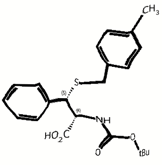 Cc1ccc(CS[C@@H](c2ccccc2)[C@H](NC(=O)OC(C)(C)C)C(=O)O)cc1